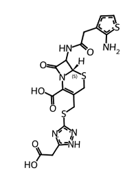 Nc1sccc1CC(=O)NC1C(=O)N2C(C(=O)O)=C(CSc3n[nH]c(CC(=O)O)n3)CS[C@@H]12